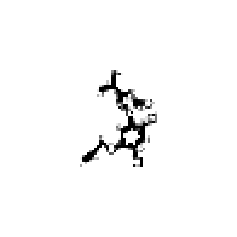 C#CCOc1cc(-n2nc(C(=C)C)sc2=O)c(Cl)cc1Cl